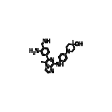 Cc1c(-c2ccc(C=N)c(N)c2)nc(Nc2ccc(N3CCC(C)(O)CC3)cc2)c2nccn12